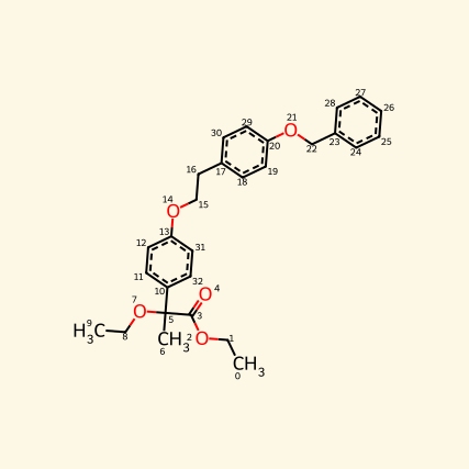 CCOC(=O)C(C)(OCC)c1ccc(OCCc2ccc(OCc3ccccc3)cc2)cc1